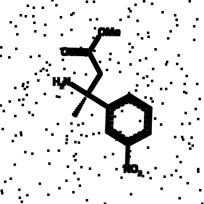 COC(=O)C[C@](C)(N)c1cccc([N+](=O)[O-])c1